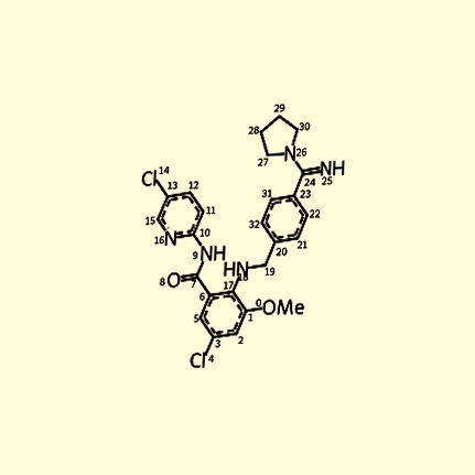 COc1cc(Cl)cc(C(=O)Nc2ccc(Cl)cn2)c1NCc1ccc(C(=N)N2CCCC2)cc1